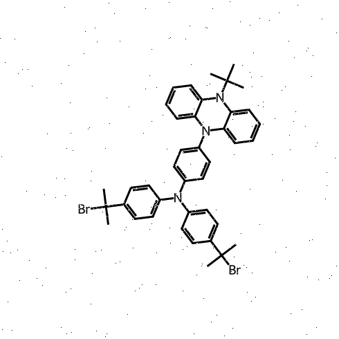 CC(C)(Br)c1ccc(N(c2ccc(N3c4ccccc4N(C(C)(C)C)c4ccccc43)cc2)c2ccc(C(C)(C)Br)cc2)cc1